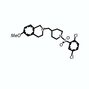 COc1ccc2c(c1)CCN(CC1CCN(S(=O)(=O)c3cc(Cl)ccc3Cl)CC1)C2